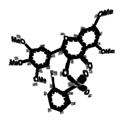 COc1cc(OC)c2c(=O)c(OS(=O)(=O)c3ccccc3F)c(-c3cc(OC)c(OC)c(OC)c3)oc2c1